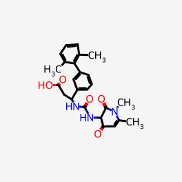 CC1=CC(=O)C(NC(=O)NC(CC(=O)O)c2cccc(-c3c(C)cccc3C)c2)C(=O)N1C